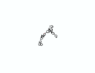 c1ccc(-c2ccc(N(c3ccc(-c4ccccc4)cc3)c3ccc(-c4ccc(-n5ccc6cc(-c7ccc8oc9ccccc9c8c7)ccc65)cc4)cc3)cc2)cc1